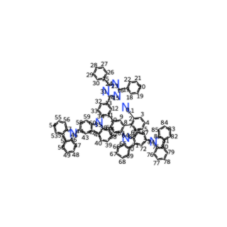 N#Cc1ccccc1-c1cc(-c2cc(-c3nc(-c4ccccc4)nc(-c4ccccc4)n3)ccc2-n2c3ccccc3c3cc(-n4c5ccccc5c5ccccc54)ccc32)ccc1-n1c2ccccc2c2cc(-n3c4ccccc4c4ccccc43)ccc21